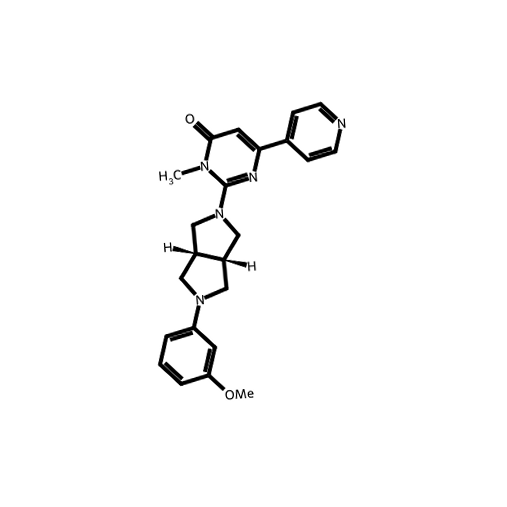 COc1cccc(N2C[C@@H]3CN(c4nc(-c5ccncc5)cc(=O)n4C)C[C@@H]3C2)c1